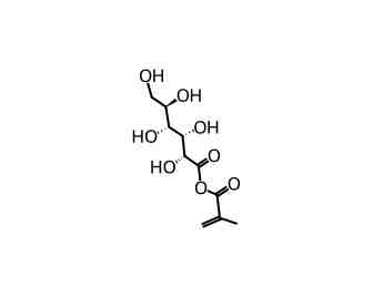 C=C(C)C(=O)OC(=O)[C@H](O)[C@@H](O)[C@H](O)[C@H](O)CO